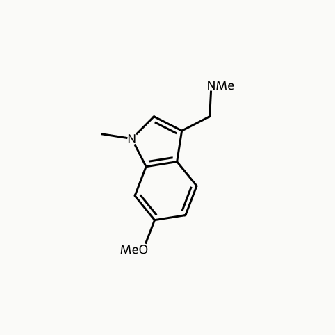 CNCc1cn(C)c2cc(OC)ccc12